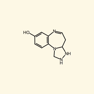 Oc1ccc2c(c1)N=CCC1NNCN21